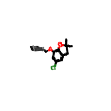 CC(C)(C)COc1cc(Cl)cc2c1OC(C)(C)C2